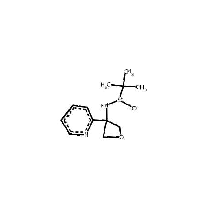 CC(C)(C)[S+]([O-])NC1(c2ccccn2)COC1